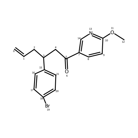 C=CCC(CC(=O)c1ccc(OC)nc1)c1ccc(Br)cc1